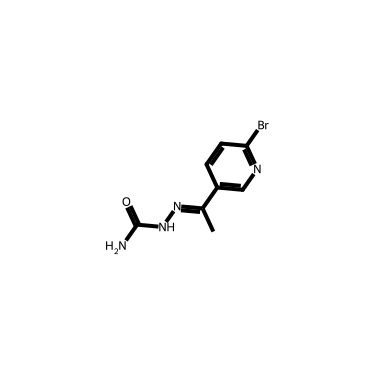 C/C(=N\NC(N)=O)c1ccc(Br)nc1